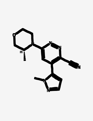 C[C@@H]1COCCN1c1cc(-c2ccnn2C)c(C#N)nn1